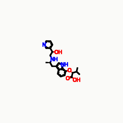 CC(C)[C@@H](Oc1cccc2c(C[C@@H](C)NC[C@H](O)c3cccnc3)c[nH]c12)C(=O)O